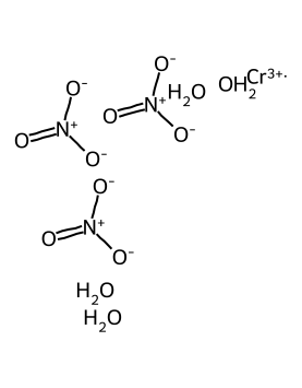 O.O.O.O.O=[N+]([O-])[O-].O=[N+]([O-])[O-].O=[N+]([O-])[O-].[Cr+3]